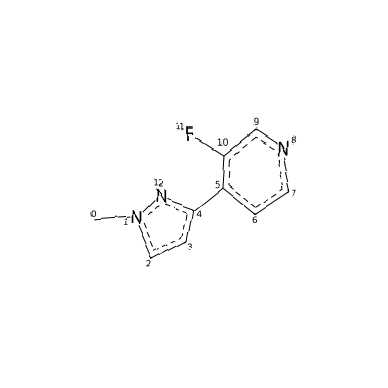 Cn1ccc(-c2ccncc2F)n1